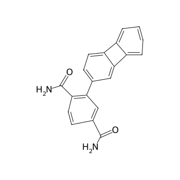 NC(=O)c1ccc(C(N)=O)c(-c2ccc3c(c2)-c2ccccc2-3)c1